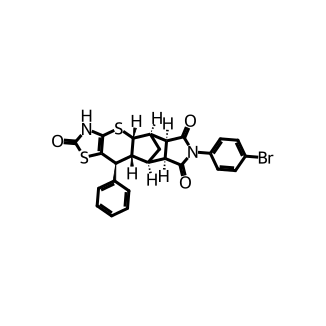 O=C1[C@@H]2[C@H]3C[C@@H]([C@@H]2C(=O)N1c1ccc(Br)cc1)[C@@H]1[C@@H](c2ccccc2)c2sc(=O)[nH]c2S[C@H]31